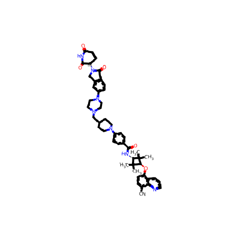 CC1(C)[C@H](NC(=O)c2ccc(N3CCC(CN4CCN(c5ccc6c(c5)CN([C@H]5CCC(=O)NC5=O)C6=O)CC4)CC3)cc2)C(C)(C)[C@H]1Oc1ccc(C#N)c2ncccc12